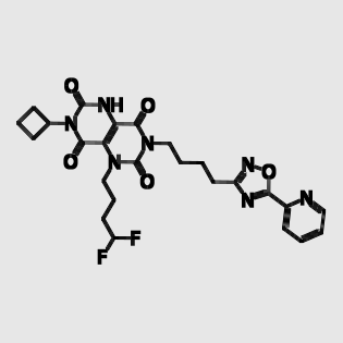 O=c1c2[nH]c(=O)n(C3CCC3)c(=O)c2n(CCCC(F)F)c(=O)n1CCCCc1noc(-c2ccccn2)n1